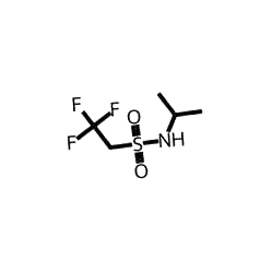 CC(C)NS(=O)(=O)CC(F)(F)F